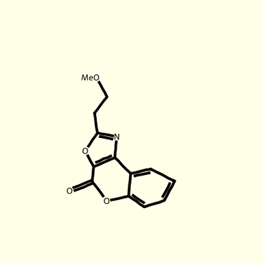 COCCc1nc2c(o1)c(=O)oc1ccccc12